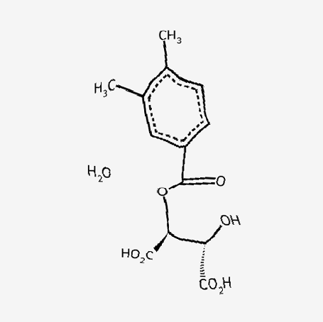 Cc1ccc(C(=O)O[C@H](C(=O)O)[C@H](O)C(=O)O)cc1C.O